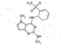 CNc1nc(NC2CC=CC=C2S(C)(=O)=O)c2c(ccn2C)n1